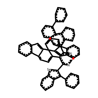 C1=CC2(C3=Cc4ccccc4C3=C1)C1=Cc3ccccc3C1=CC=C2c1c(-c2[se]c3ccccc3c2-c2ccccc2)nnnc1-c1cc2cccc(-c3ccccc3)c2c2ccccc12